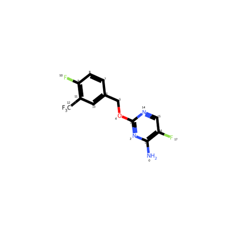 Nc1nc(OCc2ccc(F)c(C(F)(F)F)c2)ncc1F